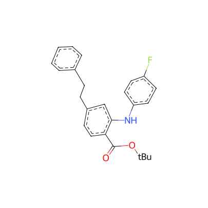 CC(C)(C)OC(=O)c1ccc(CCc2ccccc2)cc1Nc1ccc(F)cc1